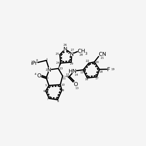 CC(C)CN1C(=O)c2ccccc2[C@@H](C(=O)Nc2ccc(F)c(C#N)c2)[C@@H]1c1cnn(C)c1